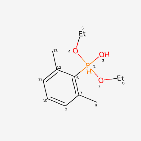 CCO[PH](O)(OCC)c1c(C)cccc1C